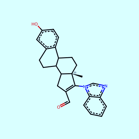 C[C@]12CCC3c4ccc(O)cc4CCC3C1CC(C=O)=C2n1cnc2ccccc21